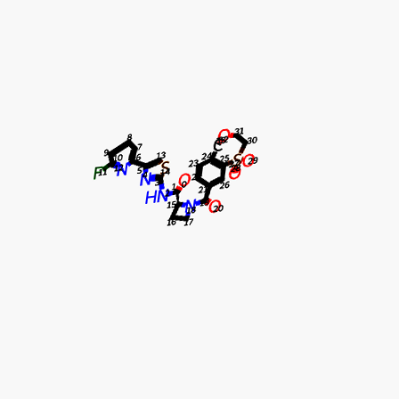 O=C(Nc1nc(-c2cccc(F)n2)cs1)[C@@H]1CCN1C(=O)c1ccc2c(c1)S(=O)(=O)CCOC2